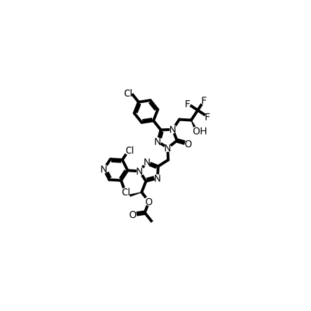 CC(=O)O[C@@H](C)c1nc(Cn2nc(-c3ccc(Cl)cc3)n(C[C@H](O)C(F)(F)F)c2=O)nn1-c1c(Cl)cncc1Cl